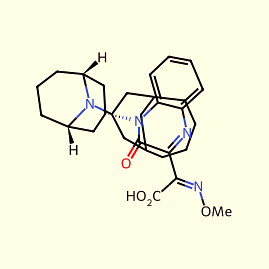 CON=C(C(=O)O)c1nc2ccccc2n([C@H]2C[C@H]3CCC[C@@H](C2)N3C2CC3CCCCC(C3)C2)c1=O